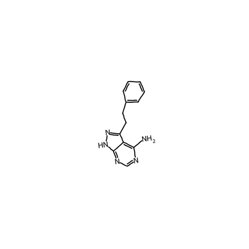 Nc1ncnc2[nH]nc(CCc3ccccc3)c12